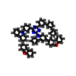 c1ccc(-c2cccc(-c3cccc(-c4nc(-c5cccc(-n6c7ccccc7c7cc(-c8ccc9oc%10ccccc%10c9c8)ccc76)c5)nc(-n5c6ccccc6c6cc(-c7ccc8oc9ccccc9c8c7)ccc65)n4)c3)c2)cc1